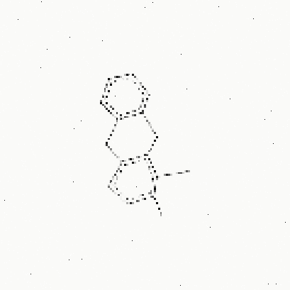 [CH2]c1ccc2c(c1C)Cc1ccccc1C2